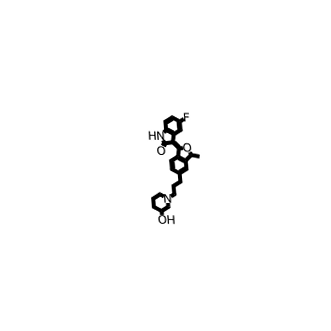 CC1OC(=C2C(=O)Nc3ccc(F)cc32)c2ccc(CCCN3CCCC(O)C3)cc21